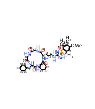 COc1cc(C)c(S(=O)(=O)NC(=N)NCCC[C@@H]2NC(=O)C3(CCCCC3)NC(=O)[C@@H](Cc3ccccc3)NC(=O)CNC(=O)CNC2=O)c(C)c1C